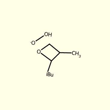 CCC(C)C1OCC1C.[O]O